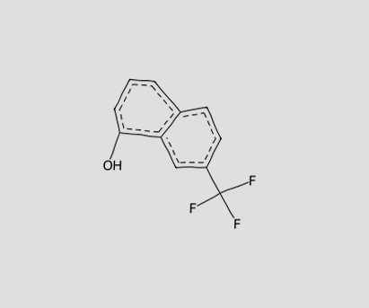 Oc1cccc2ccc(C(F)(F)F)cc12